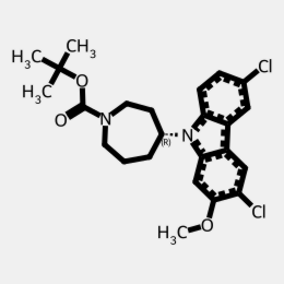 COc1cc2c(cc1Cl)c1cc(Cl)ccc1n2[C@@H]1CCCN(C(=O)OC(C)(C)C)CC1